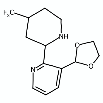 FC(F)(F)C1CCNC(c2ncccc2C2OCCO2)C1